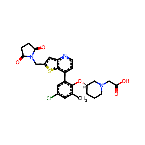 Cc1cc(Cl)cc(-c2ccnc3cc(CN4C(=O)CCC4=O)sc23)c1O[C@H]1CCCN(CC(=O)O)C1